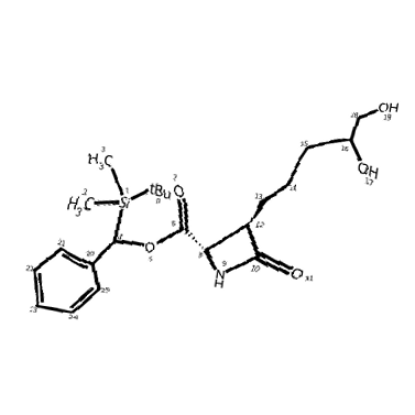 CC(C)(C)[Si](C)(C)C(OC(=O)[C@H]1NC(=O)[C@@H]1CCCC(O)CO)c1ccccc1